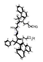 CC1(Cc2ccccc2)C(/C=C/C(C#N)=C/C=C2\N(CCOC=O)c3ccc4ccccc4c3C2(C)C)=[N+](CCC(=O)O)c2c1c1ccccc1c1ccccc21